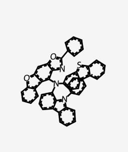 c1ccc(-c2nc3c(N(c4ccc5c(c4)sc4ccccc45)c4cccc5c6ccccc6n(-c6ccccc6)c45)c4c(cc3o2)oc2ccccc24)cc1